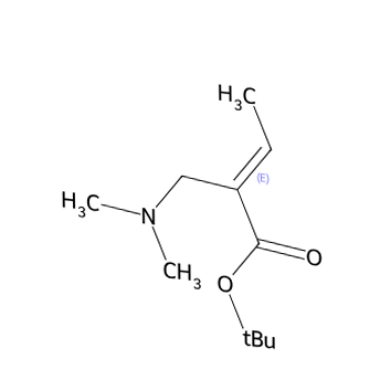 C/C=C(\CN(C)C)C(=O)OC(C)(C)C